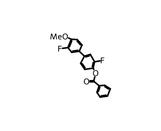 COc1ccc(-c2ccc(OC(=O)c3ccccc3)c(F)c2)cc1F